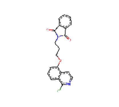 O=C1c2ccccc2C(=O)N1CCCOc1cccc2c(Cl)nccc12